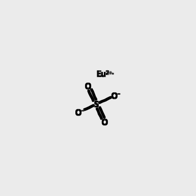 O=S(=O)([O-])[O-].[Eu+2]